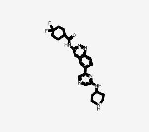 O=C(Nc1cc2cc(-c3cncc(NC4CCNCC4)n3)ccc2nn1)C1CCC(F)(F)CC1